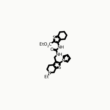 CCOC(=O)c1sc2c(c1NC(=O)NCc1c(-n3cccc3)sc3c1CCN(CC)C3)CCCC2